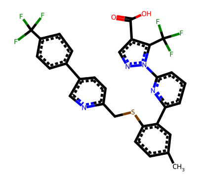 Cc1ccc(SCc2ccc(-c3ccc(C(F)(F)F)cc3)cn2)c(-c2cccc(-n3ncc(C(=O)O)c3C(F)(F)F)n2)c1